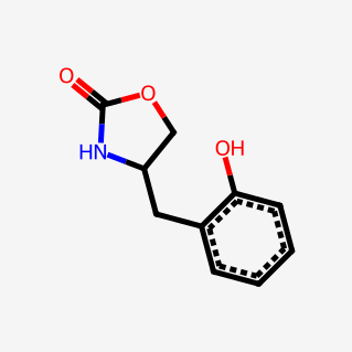 O=C1NC(Cc2ccccc2O)CO1